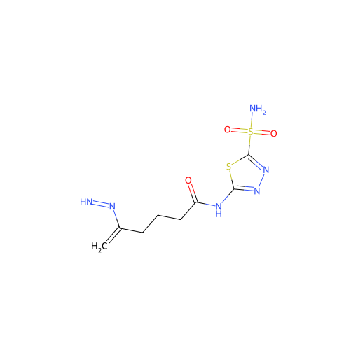 C=C(CCCC(=O)Nc1nnc(S(N)(=O)=O)s1)N=N